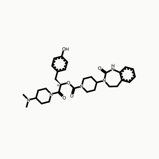 CN(C)C1CCN(C(=O)[C@@H](Cc2ccc(O)cc2)OC(=O)N2CCC(N3CCc4ccccc4NC3=O)CC2)CC1